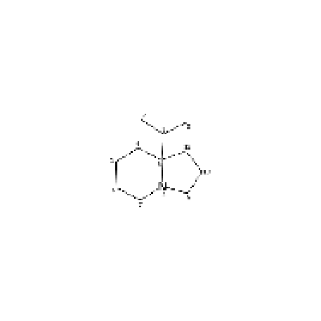 CC(C)C12CCCCN1CCC2